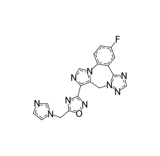 Fc1ccc2c(c1)-c1ncnn1Cc1c(-c3noc(Cn4ccnc4)n3)ncn1-2